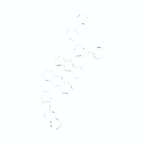 c1ccc(-c2cccc(-c3cc(-c4c5ccccc5c(-c5c6ccccc6c(-c6ccc7oc8cc9ccccc9cc8c7c6)c6ccccc56)c5ccccc45)nc(-c4ccccc4)n3)c2)cc1